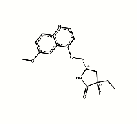 CC[C@@]1(F)C[C@@H](COc2ccnc3ccc(OC)cc23)NC1=O